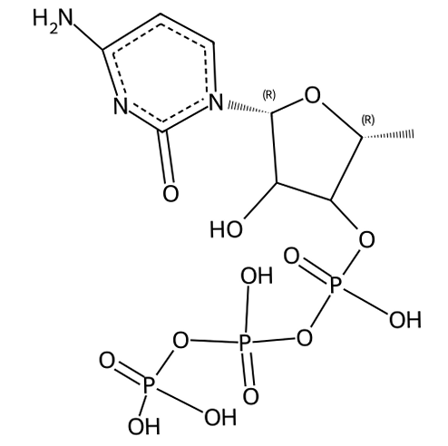 C[C@H]1O[C@@H](n2ccc(N)nc2=O)C(O)C1OP(=O)(O)OP(=O)(O)OP(=O)(O)O